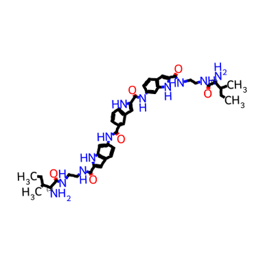 CCC(C)[C@H](N)C(=O)NCCNC(=O)c1cc2ccc(NC(=O)c3ccc4[nH]c(C(=O)Nc5ccc6cc(C(=O)NCCNC(=O)[C@@H](N)C(C)CC)[nH]c6c5)cc4c3)cc2[nH]1